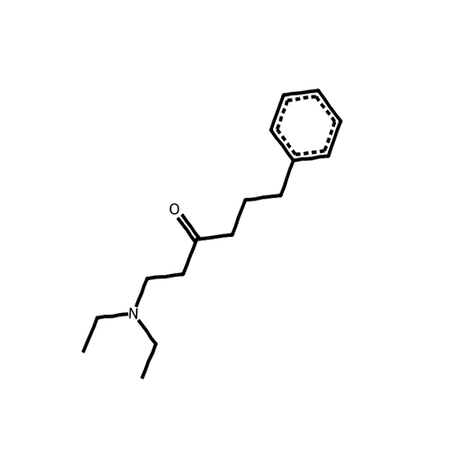 CCN(CC)CCC(=O)CCCc1ccccc1